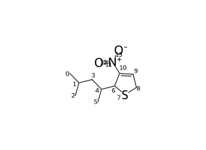 CC(C)CC(C)C1SCC=C1[N+](=O)[O-]